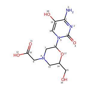 Nc1nc(=O)n(C2CN(CC(=O)O)CC(CO)O2)cc1O